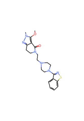 COc1c2c(nn1C)CCN(CCN1CCN(c3nsc4ccccc34)CC1)C2=O